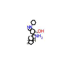 C[C@H]1CC[C@H]2[C@H](CN)[C@@H]([C@]3(C)Cc4cnn(C5CCCCC5)c4C[C@@H]3CO)CC[C@]12C